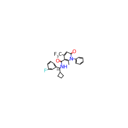 Cc1c(C(=O)N[C@H](c2cccc(F)c2)C2CCC2)c(C(F)(F)F)cc(=O)n1-c1ccccc1